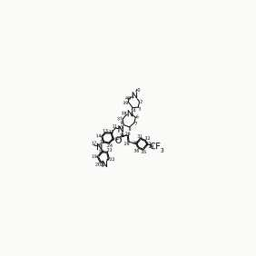 CN1CCC(N2CCCC(N(Cc3ccc(N(C)c4ccncc4)cc3)C(=O)/C=C/c3ccc(C(F)(F)F)cc3)CC2)CC1